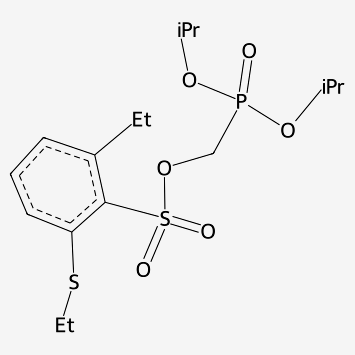 CCSc1cccc(CC)c1S(=O)(=O)OCP(=O)(OC(C)C)OC(C)C